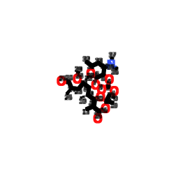 COC(=O)OC1C(O[C@H]([C@@H](C)C2=C(C)C(=O)OC(C)(C)O2)[C@@](C)(C[C@@H](C)C=O)OC)OC(C)CC1N(C)C